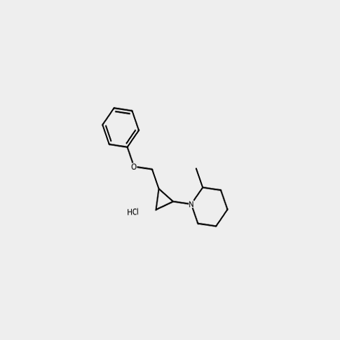 CC1CCCCN1C1CC1COc1ccccc1.Cl